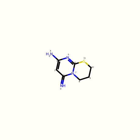 N=c1cc(N)nc2n1CCCS2